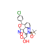 Cc1noc([C@H](CC(=O)O)N[S@@+]([O-])C(C)(C)C)c1-c1ccccc1C(=O)c1ccc(Cl)cc1